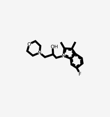 Cc1c(C)n(CC(O)CN2CCOCC2)c2cc(F)ccc12